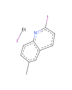 CCI.Cc1ccc2nc(I)ccc2c1